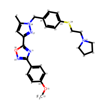 Cc1cc(-c2nc(-c3ccc(OC(F)(F)F)cc3)no2)nn1Cc1ccc(SCCN2CCCC2)cc1